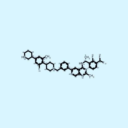 Cc1nc(N[C@H](C)c2cccc(C(F)F)c2F)c2cc(-c3cccc(CN4CCC(c5c(C)cc(C6CCCNC6)cc5F)CC4)c3)ncc2n1